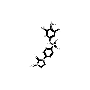 CCCCN1CCN(c2ccc(S(=O)(=O)Oc3cc(Br)c(OC)c(Br)c3)cc2)C1=O